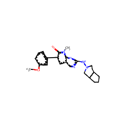 COc1cccc(-c2cc3cnc(NN4CC5CCCC5C4)nc3n(C)c2=O)c1